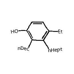 CCCCCCCCCCc1c(O)ccc(CC)c1CCCCCCC